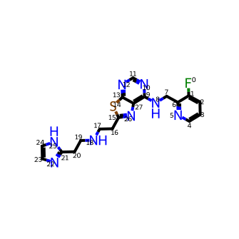 Fc1cccnc1CNc1ncnc2sc(CCNCCc3ncc[nH]3)nc12